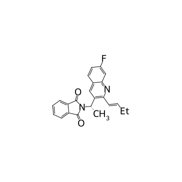 CCC=Cc1nc2cc(F)ccc2cc1[C@H](C)N1C(=O)c2ccccc2C1=O